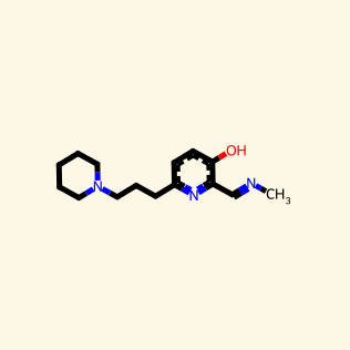 C/N=C/c1nc(CCCN2CCCCC2)ccc1O